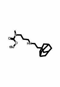 CN(CCCNCCC12CC3CC(CC(C3)C1)C2)C(=O)OC(C)(C)C